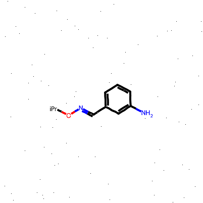 CC(C)ON=Cc1cccc(N)c1